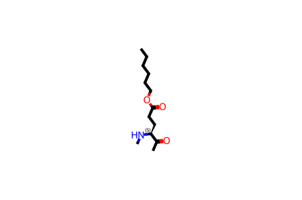 CCCCCCOC(=O)CC[C@H](NC)C(C)=O